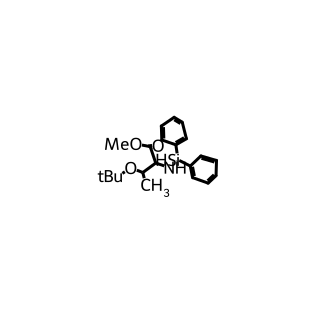 COC(=O)C(N[SiH](c1ccccc1)c1ccccc1)C(C)OC(C)(C)C